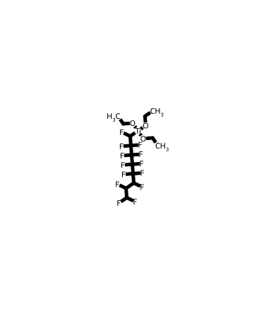 CC[O][Ti]([O]CC)([O]CC)[CH](F)C(F)(F)C(F)(F)C(F)(F)C(F)(F)C(F)C(F)C(F)F